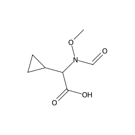 CON(C=O)C(C(=O)O)C1CC1